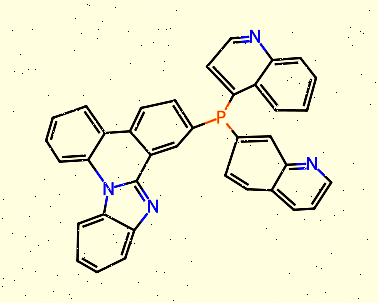 c1cnc2cc(P(c3ccc4c5ccccc5n5c6ccccc6nc5c4c3)c3ccnc4ccccc34)ccc2c1